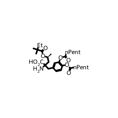 CCCCCC(=O)Oc1ccc(CC(N)(C[C@H](C)OC(=O)C(C)(C)CC)C(=O)O)cc1OC(=O)CCCCC